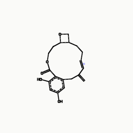 C=C1/C=C/CCC2COC2CCOC(=O)c2c(O)cc(O)cc2C1